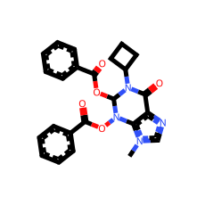 Cn1cnc2c1N(OC(=O)c1ccccc1)C(OC(=O)c1ccccc1)N(C1CCC1)C2=O